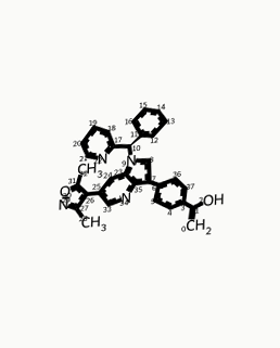 C=C(O)c1ccc(-c2cn([C@H](c3ccccc3)c3ccccn3)c3cc(-c4c(C)noc4C)cnc23)cc1